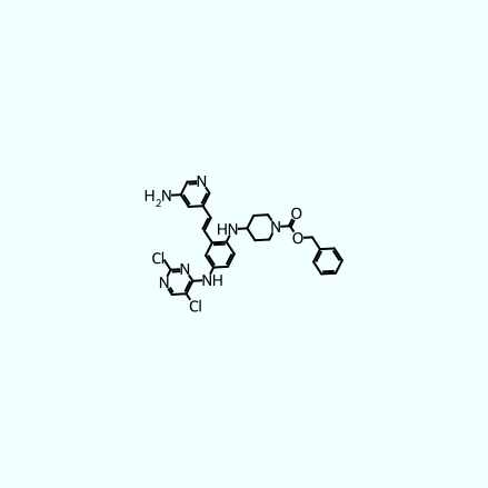 Nc1cncc(C=Cc2cc(Nc3nc(Cl)ncc3Cl)ccc2NC2CCN(C(=O)OCc3ccccc3)CC2)c1